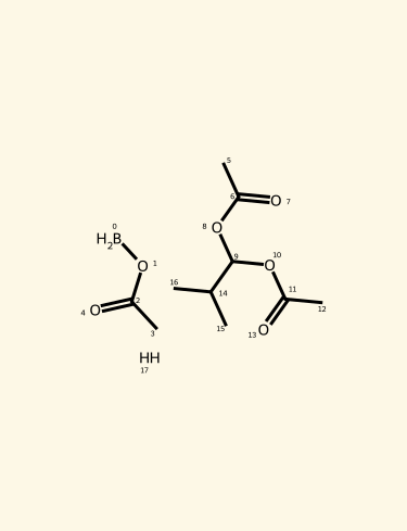 BOC(C)=O.CC(=O)OC(OC(C)=O)C(C)C.[HH]